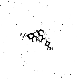 Cc1cc(C(F)(F)F)cc(O)c1-c1nnc(NC2CC(O)C2)c2ncccc12